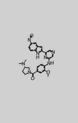 COc1cc(C(=O)N2CC[C@H](N(C)C)C2)ccc1Nc1cncc(-c2cc3cc(N=O)ccc3[nH]2)n1